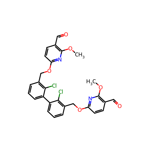 COc1nc(OCc2cccc(-c3cccc(COc4ccc(C=O)c(OC)n4)c3Cl)c2Cl)ccc1C=O